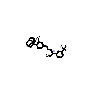 COc1cc(CC/C=C(\C=O)c2cccc(C(F)(F)F)c2)ccc1C12CC3CC(CC(C3)C1)C2